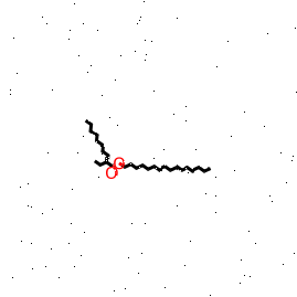 CCCCCCCCCCCCCCCCOC(=O)C(CC)CCCCCCCC